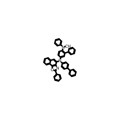 CN(c1ccccc1)c1ccc(N(c2ccc(-c3ccccc3)cc2)c2cc3ccccc3c3oc(-c4ccccc4)nc23)cc1-c1ccccc1